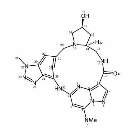 CNc1cc2nc3c(cnn13)C(=O)NC[C@@H]1C[C@H](O)CN1Cc1cc(c3nnn(C)c3c1)N2